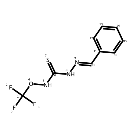 FC(F)(F)ONC(=S)NN=Cc1ccccc1